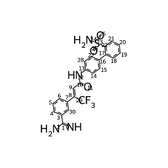 N=C(N)c1cccc(/C(=C/C(=O)Nc2ccc(-c3ccccc3S(N)(=O)=O)cc2)C(F)(F)F)c1